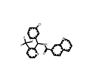 O=C(NC(c1cccc(Cl)c1)c1ncccc1C(F)(F)F)c1ccc2cccnc2c1